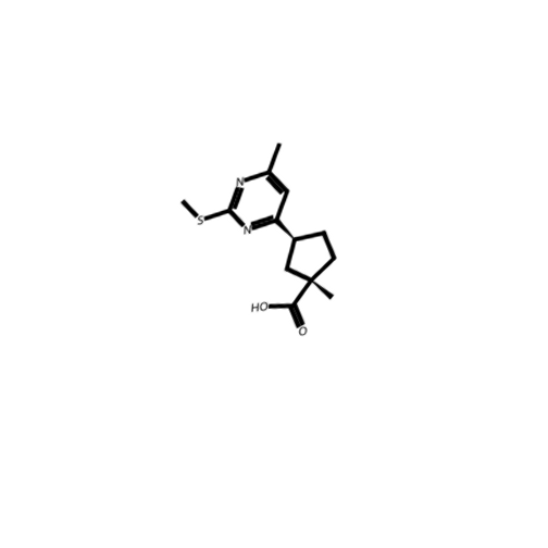 CSc1nc(C)cc([C@H]2CC[C@](C)(C(=O)O)C2)n1